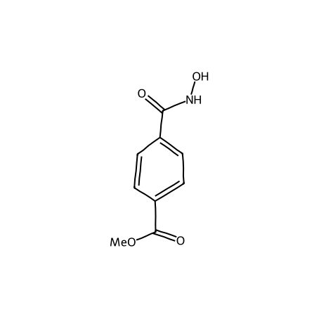 COC(=O)c1ccc(C(=O)NO)cc1